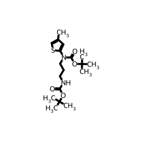 Cc1csc(N(CCCNC(=O)OC(C)(C)C)C(=O)OC(C)(C)C)c1